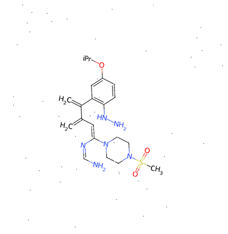 C=C(/C=C(\N=C/N)N1CCN(S(C)(=O)=O)CC1)C(=C)c1cc(OC(C)C)ccc1NN